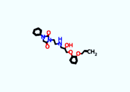 C=CCOc1ccccc1OCC(O)CNCCN1C(=O)CN(c2ccccc2)C1=O